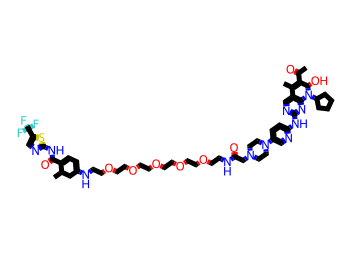 CC(=O)C1=C(C)c2cnc(Nc3ccc(N4CCN(CC(=O)NCCOCCOCCOCCOCCOCCNC5=CC=C(C(=O)Nc6ncc(C(F)(F)F)s6)C(C)C5)CC4)cn3)nc2N(C2CCCC2)C1O